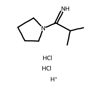 CC(C)C(=N)N1CCCC1.Cl.Cl.[H+]